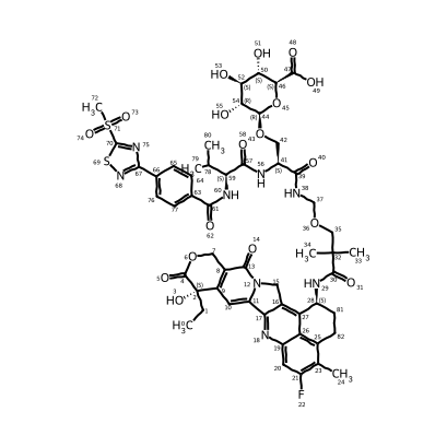 CC[C@@]1(O)C(=O)OCc2c1cc1n(c2=O)Cc2c-1nc1cc(F)c(C)c3c1c2[C@@H](NC(=O)C(C)(C)COCNC(=O)[C@H](CO[C@@H]1O[C@H](C(=O)O)[C@@H](O)[C@H](O)[C@H]1O)NC(=O)[C@@H](NC(=O)c1ccc(-c2nsc(S(C)(=O)=O)n2)cc1)C(C)C)CC3